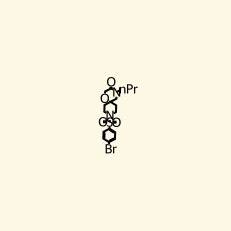 CCCN1CC2(CCN(S(=O)(=O)c3ccc(Br)cc3)CC2)OCC1=O